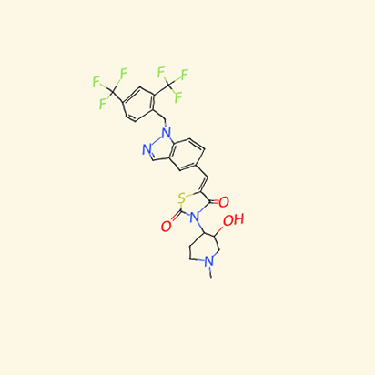 CN1CCC(N2C(=O)SC(=Cc3ccc4c(cnn4Cc4ccc(C(F)(F)F)cc4C(F)(F)F)c3)C2=O)C(O)C1